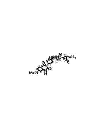 CNc1ccc2c(=O)n(-c3ccc(NC(=O)NS(=O)(=O)c4cc(C)c(Cl)s4)nn3)c(=O)[nH]c2c1